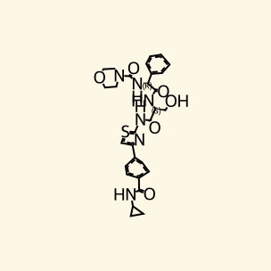 O=C(NC1CC1)c1ccc(-c2csc(NC(=O)[C@H](CO)NC(=O)[C@H](NC(=O)N3CCOCC3)c3ccccc3)n2)cc1